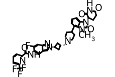 Cn1c(=O)n(C2CCC(=O)NC2=O)c2cccc(C3CCN(C[C@H]4C[C@H](n5cc6cc(NC(=O)c7cccc(C(F)(F)F)n7)c(F)cc6n5)C4)CC3)c21